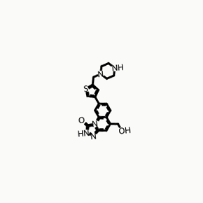 O=c1[nH]nc2cc(CO)c3ccc(-c4csc(CN5CCNCC5)c4)cc3n12